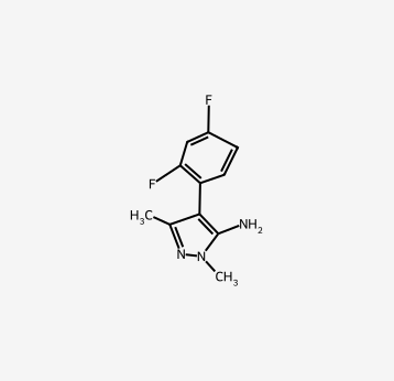 Cc1nn(C)c(N)c1-c1ccc(F)cc1F